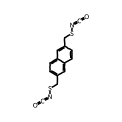 O=C=NSCc1ccc2cc(CSN=C=O)ccc2c1